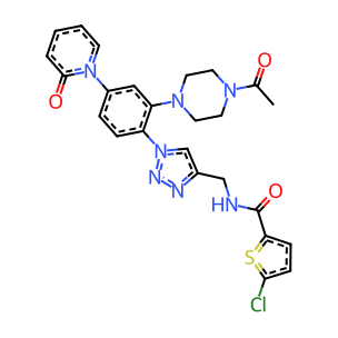 CC(=O)N1CCN(c2cc(-n3ccccc3=O)ccc2-n2cc(CNC(=O)c3ccc(Cl)s3)nn2)CC1